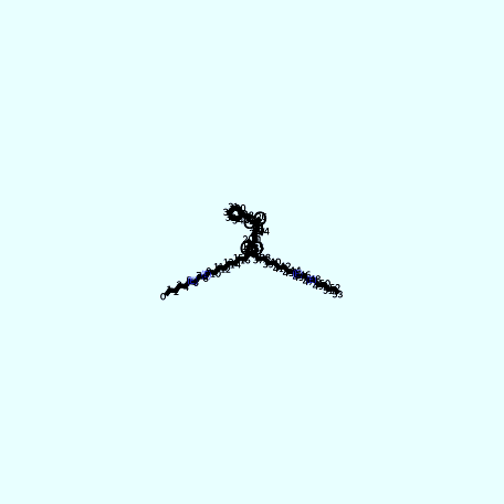 CCCCC/C=C/C/C=C/CCCCCCCC1OC(C)(CCN(C)C(=O)OCc2ccccc2)OC1CCCCCCC/C=C/C/C=C/CCCCC